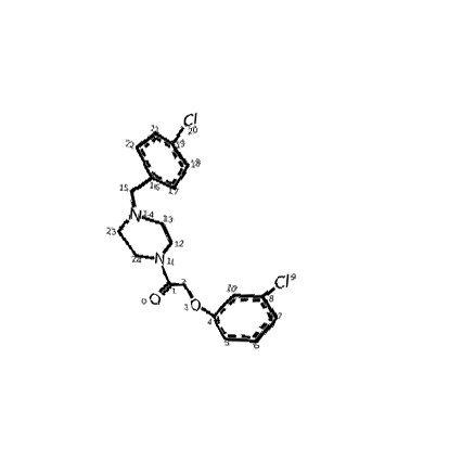 O=C(COc1cccc(Cl)c1)N1CCN(Cc2ccc(Cl)cc2)CC1